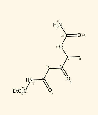 CCOC(=O)NC(=O)CC(=O)C(C)OC(N)=O